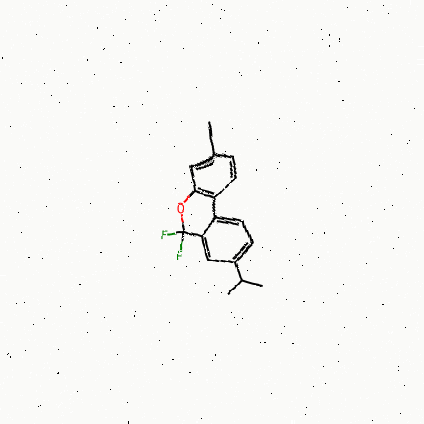 Cc1ccc2c(c1)OC(F)(F)c1cc(C(C)C)ccc1-2